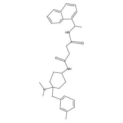 Cc1cccc(CC2(N(C)C)CCC(NC(=O)CCC(=O)NC(C)c3cccc4ccccc34)CC2)c1